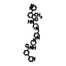 Cc1c(C(=O)NC2CCN(Cc3ccc(N4CCC(NC(=O)c5cccc(-c6cccnc6)c5)CC4)nc3)CC2)cccc1-c1cccnn1